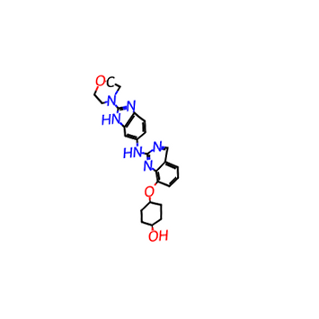 O[C@H]1CC[C@@H](Oc2cccc3cnc(Nc4ccc5nc(N6CCOCC6)[nH]c5c4)nc23)CC1